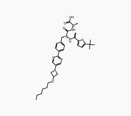 C=C(N[C@@H](Cc1ccc(-c2ncc(N3CC(OCCCCCC)C3)cn2)cc1)C(=O)N[C@H](C)C(=O)O)c1ccc(C(C)(C)C)s1